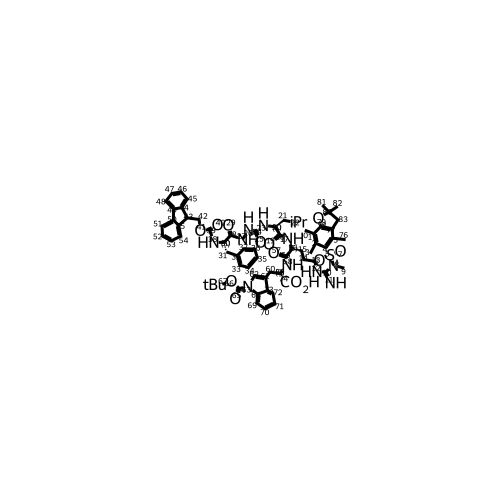 Cc1c(C)c(S(=O)(=O)N(C)C(=N)NCCC[C@H](NC(=O)[C@H](CC(C)C)NC(=O)NNC(=O)[C@H](Cc2ccccc2)NC(=O)OCC2c3ccccc3-c3ccccc32)C(=O)N[C@@H](Cc2cn(C(=O)OC(C)(C)C)c3ccccc23)C(=O)O)c(C)c2c1OC(C)(C)C2